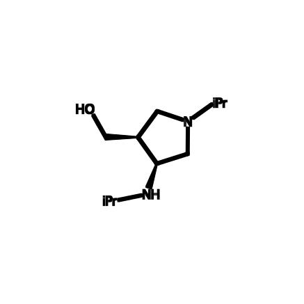 CC(C)N[C@@H]1CN(C(C)C)C[C@@H]1CO